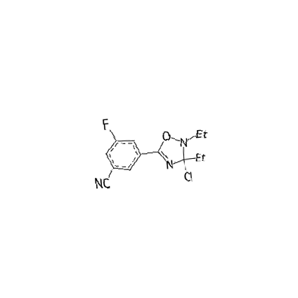 CCN1OC(c2cc(F)cc(C#N)c2)=NC1(Cl)CC